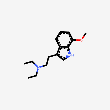 CCN(CC)CCc1c[nH]c2c(OC)cccc12